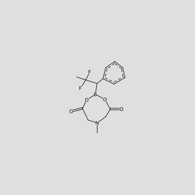 CN1CC(=O)OB(C(c2ccccc2)C(C)(F)F)OC(=O)C1